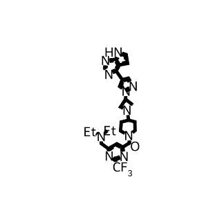 CCN(CC)Cc1cc(C(=O)N2CCC(N3C[C](n4cc(-c5ncnc6[nH]ccc56)cn4)C3)CC2)nc(C(F)(F)F)n1